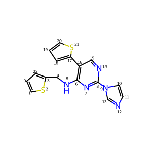 c1csc(CNc2nc(-n3ccnc3)ncc2-c2cccs2)c1